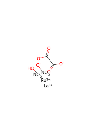 O=C([O-])C(=O)[O-].O=[N+]([O-])O.O=[N+]([O-])[O-].[La+3].[Ru+3]